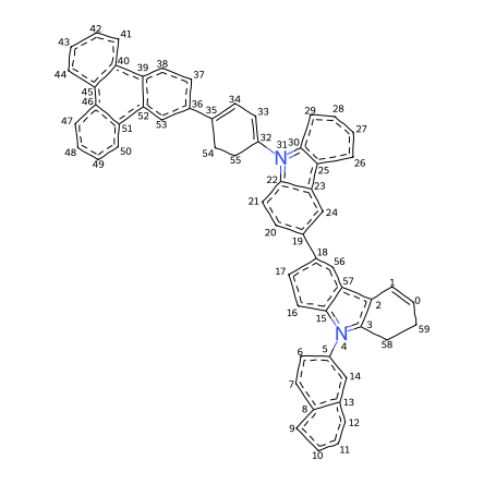 C1=Cc2c(n(-c3ccc4ccccc4c3)c3ccc(-c4ccc5c(c4)c4ccccc4n5C4=CC=C(c5ccc6c7ccccc7c7ccccc7c6c5)CC4)cc23)CC1